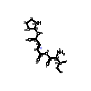 CC[C@H](C)[C@H](N)C(=O)OC(=O)/C=C/C(=O)OC1NCCS1